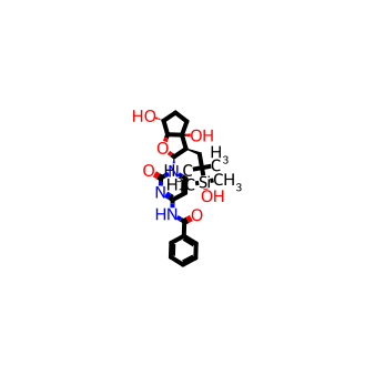 CC(C)(C[C@H]1[C@H](n2ccc(NC(=O)c3ccccc3)nc2=O)OC2[C@H](O)CC[C@@]21O)[Si](C)(C)O